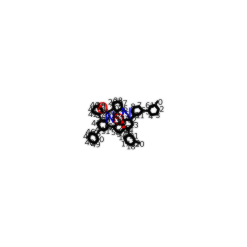 Cc1cccc(-c2ccc3c(c2)c2cc(-c4cccc(C)c4)ccc2n3-c2cccc3c2C(=O)N(c2c(-c4ccccc4)cc(-c4ccccc4)cc2-c2ccccc2)C3=O)c1